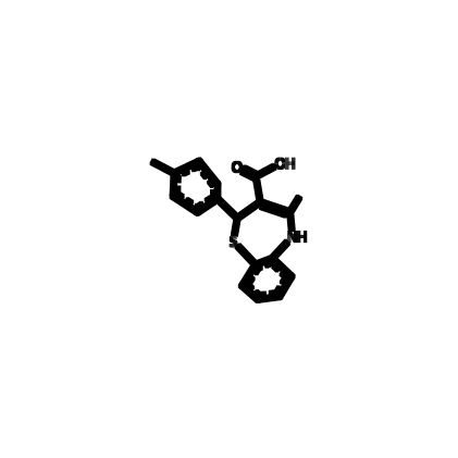 CC1=C(C(=O)O)C(c2ccc(C)cc2)Sc2ccccc2N1